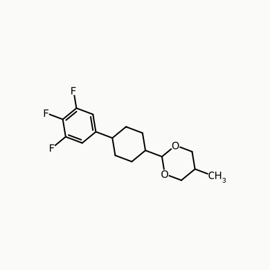 CC1COC(C2CCC(c3cc(F)c(F)c(F)c3)CC2)OC1